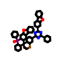 O=P1(c2ccccc2)c2ccccc2C2(c3ccccc3Sc3cc(-c4nc(-c5ccccc5)nc(-c5ccc6c(c5)oc5ccccc56)n4)ccc32)c2cc3c(cc21)oc1ccccc13